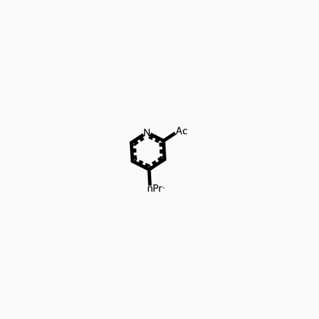 CC[CH]c1ccnc(C(C)=O)c1